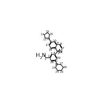 NCc1cc(-c2nccc3cc(C4CCCC4)ccc23)cc(C2CCCCC2)c1